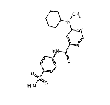 CN(c1cc(C(=O)Nc2ccc(S(N)(=O)=O)cc2)ncn1)C1CCCCC1